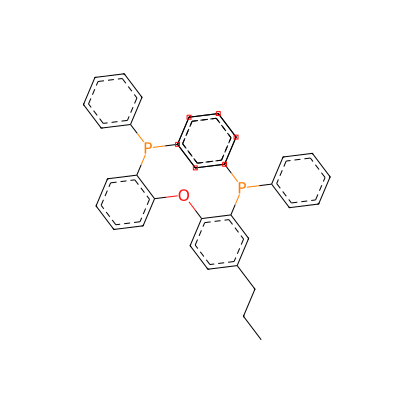 CCCc1ccc(Oc2ccccc2P(c2ccccc2)c2ccccc2)c(P(c2ccccc2)c2ccccc2)c1